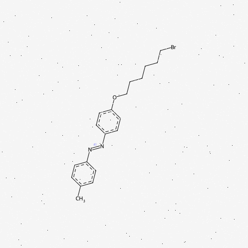 Cc1ccc(/N=N/c2ccc(OCCCCCCBr)cc2)cc1